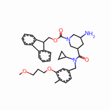 COCCCOc1cc(CN(C(=O)C2CC(N)CN(C(=O)OCC3c4ccccc4-c4ccccc43)C2)C2CC2)ccc1C